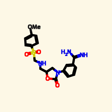 COc1ccc(S(=O)(=O)CNCC2CN(c3cccc(C(=N)N)c3)C(=O)O2)cc1